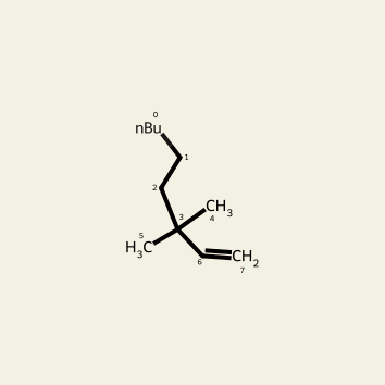 [CH2]CCCCCC(C)(C)C=C